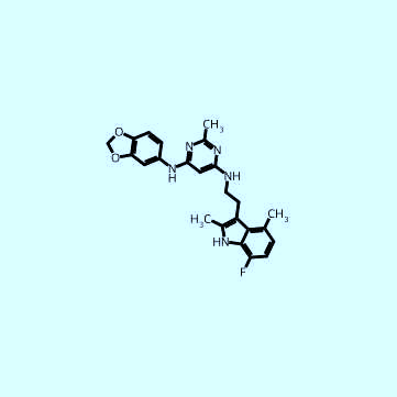 Cc1nc(NCCc2c(C)[nH]c3c(F)ccc(C)c23)cc(Nc2ccc3c(c2)OCO3)n1